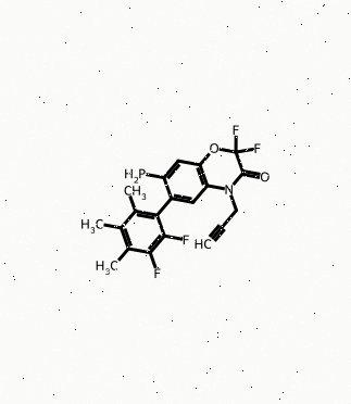 C#CCN1C(=O)C(F)(F)Oc2cc(P)c(-c3c(C)c(C)c(C)c(F)c3F)cc21